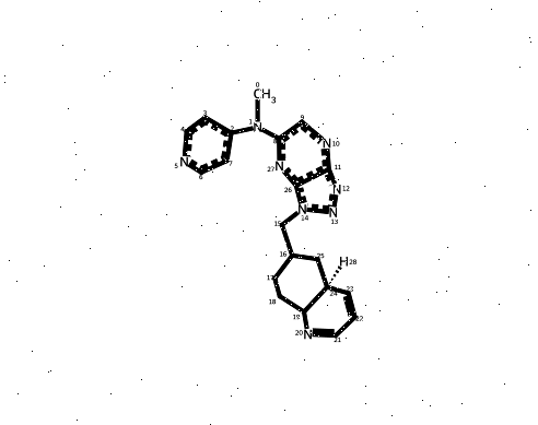 CN(c1ccncc1)c1cnc2nnn(CC3CCC4N=CC=C[C@@H]4C3)c2n1